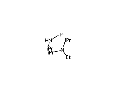 CC(C)NC(C)C.CCN(C(C)C)C(C)C